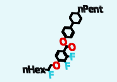 CCCCCCC(F)COc1ccc(C(=O)Oc2ccc(C3CCC(CCCCC)CC3)cc2)c(F)c1F